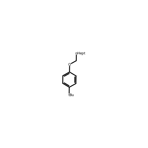 CCCCCCCCOc1[c]cc(C(C)(C)C)cc1